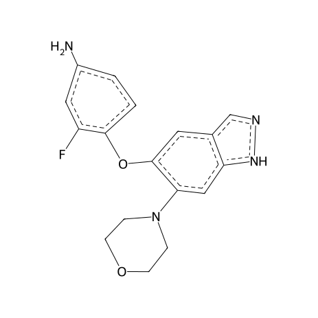 Nc1ccc(Oc2cc3cn[nH]c3cc2N2CCOCC2)c(F)c1